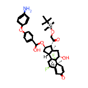 CC(C)(C)[Si](C)(C)OCC(=O)[C@H]1[C@H](OC(O)c2ccc(Oc3ccc(N)cc3)cc2)C[C@H]2[C@@H]3C[C@H](F)C4=CC(=O)C=C[C@]4(C)[C@@]3(F)[C@@H](O)C[C@@]21C